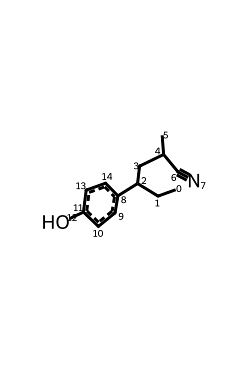 CCC(CC(C)C#N)c1ccc(O)cc1